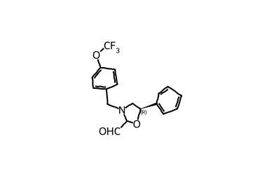 O=CC1O[C@H](c2ccccc2)CN1Cc1ccc(OC(F)(F)F)cc1